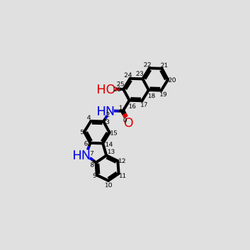 O=C(Nc1ccc2[nH]c3ccccc3c2c1)c1cc2ccccc2cc1O